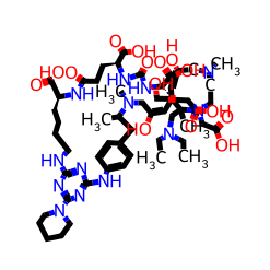 CCN(CC)CC1(C)N(CC(=O)O)CCN(C)C/C(O)=C\C1(/C=C(/O)CN(C)C(C)Cc1ccc(Nc2nc(NCCCC[C@H](NC(=O)CC[C@H](NC(=O)N[C@@H](CCC(=O)O)C(=O)O)C(=O)O)C(=O)O)nc(N3CCCCC3)n2)cc1)CO